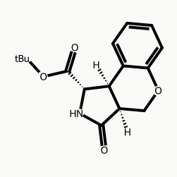 CC(C)(C)OC(=O)[C@H]1NC(=O)[C@@H]2COc3ccccc3[C@H]12